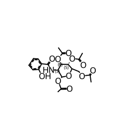 CC(=O)OCC1OC(OC(C)=O)[C@@H](NC(=O)c2ccccc2O)[C@@H](OC(C)=O)[C@@H]1OC(C)=O